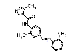 Cc1ccccc1/C=C/c1ccc(NC(=O)c2cncn2C)c(C)c1